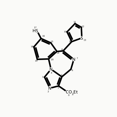 CCOC(=O)c1ncn2c1CN=C(c1cccs1)c1cc(S)ccc1-2